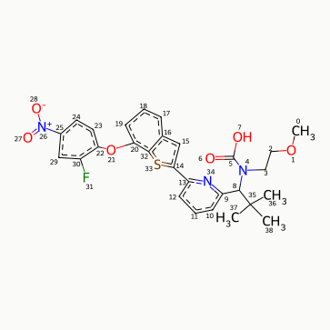 COCCN(C(=O)O)C(c1cccc(-c2cc3cccc(Oc4ccc([N+](=O)[O-])cc4F)c3s2)n1)C(C)(C)C